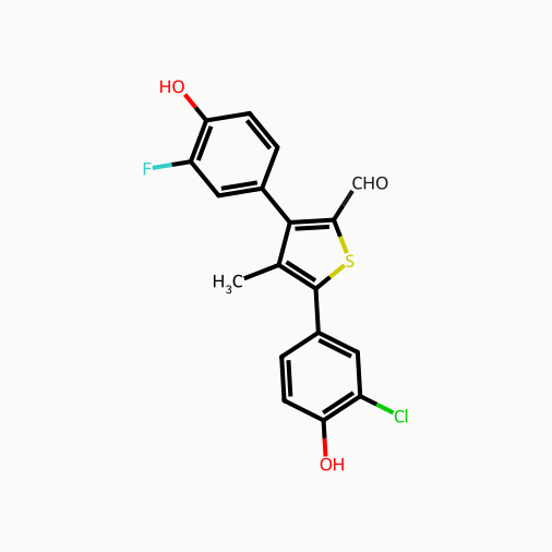 Cc1c(-c2ccc(O)c(Cl)c2)sc(C=O)c1-c1ccc(O)c(F)c1